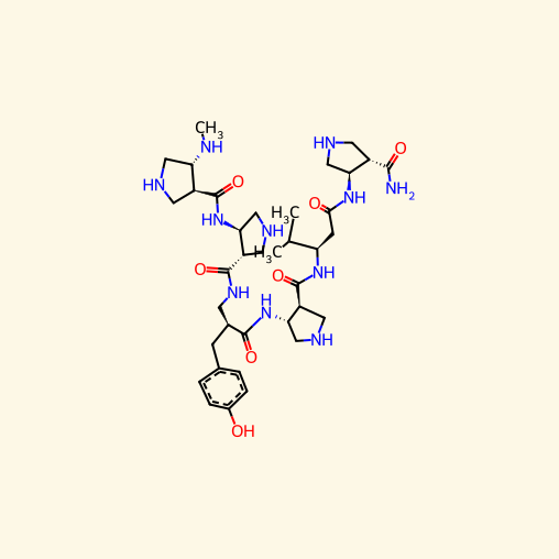 CN[C@H]1CNC[C@@H]1C(=O)N[C@H]1CNC[C@@H]1C(=O)NC[C@H](Cc1ccc(O)cc1)C(=O)N[C@H]1CNC[C@@H]1C(=O)N[C@H](CC(=O)N[C@H]1CNC[C@@H]1C(N)=O)C(C)C